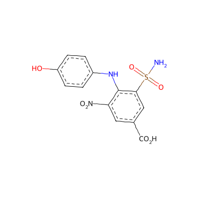 NS(=O)(=O)c1cc(C(=O)O)cc([N+](=O)[O-])c1Nc1ccc(O)cc1